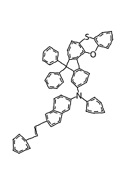 C(=C\c1ccc2cc(N(c3ccccc3)c3ccc4c(c3)C(c3ccccc3)(c3ccccc3)c3ccc5c(c3-4)Oc3ccccc3S5)ccc2c1)/c1ccccc1